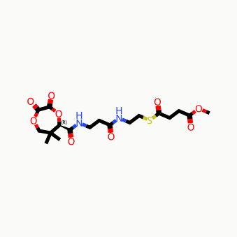 COC(=O)CCC(=O)SCCNC(=O)CCNC(=O)[C@@H]1OC(=O)C(=O)OCC1(C)C